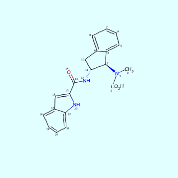 CN(C(=O)O)[C@@H]1c2ccccc2C[C@H]1NC(=O)c1cc2ccccc2[nH]1